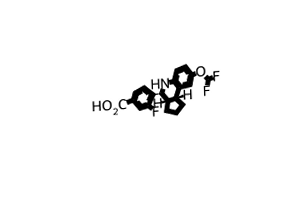 O=C(O)c1ccc([C@@H]2Nc3ccc(OC(F)F)cc3[C@@H]3CCC[C@@H]32)c(F)c1